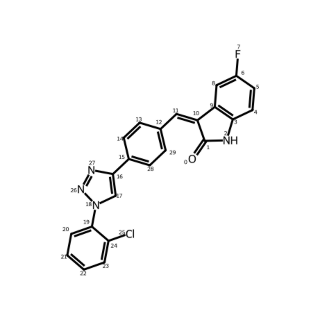 O=C1Nc2ccc(F)cc2C1=Cc1ccc(-c2cn(-c3ccccc3Cl)nn2)cc1